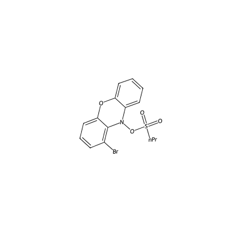 CCCS(=O)(=O)ON1c2ccccc2Oc2cccc(Br)c21